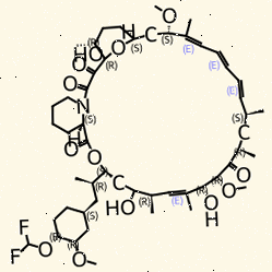 CO[C@H]1C[C@@H]2CC[C@@H](C)[C@@](O)(O2)C(=O)C(=O)N2CCCC[C@H]2C(=O)O[C@H]([C@H](C)C[C@@H]2CC[C@@H](OC(F)F)[C@H](OC)C2)CC(O)[C@H](C)/C=C(\C)[C@@H](O)[C@@H](OC)C(=O)[C@H](C)C[C@H](C)/C=C/C=C/C=C/1C